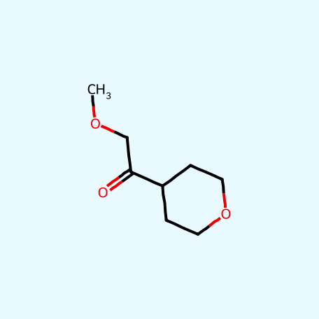 COCC(=O)C1CCOCC1